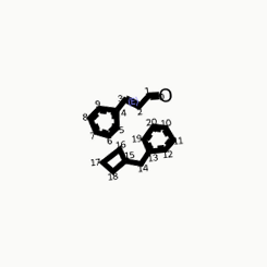 O=C/C=C/c1ccccc1.c1ccc(CC2CCC2)cc1